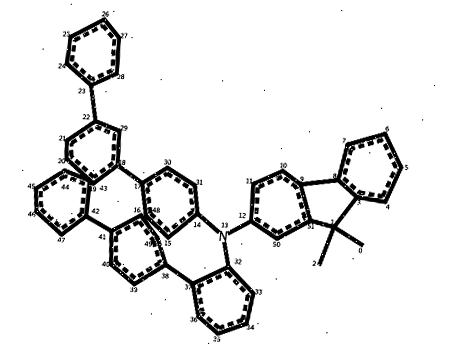 CC1(C)c2ccccc2-c2ccc(N(c3ccc(-c4cccc(-c5ccccc5)c4)cc3)c3ccccc3-c3ccc(-c4ccccc4)cc3)cc21